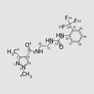 Cc1nn(C)cc1C(=O)NCCNC(=O)Nc1ccccc1C(F)(F)F